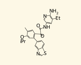 CCc1cc(NC(=O)C(=O)c2cc(C)c(OC(C)C)cc2-c2ccc3scnc3c2)cnc1N